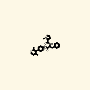 Cc1ccnc(C)c1-c1ccc(NC(=O)C(Cc2ccccc2)NC(=O)c2ccnn2C)cc1